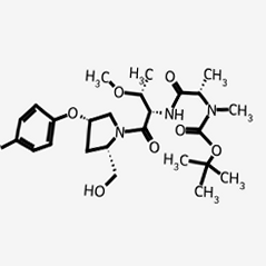 CO[C@H](C)[C@H](NC(=O)[C@H](C)N(C)C(=O)OC(C)(C)C)C(=O)N1C[C@@H](Oc2ccc(F)cc2)C[C@H]1CO